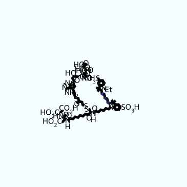 CCN1c2ccc(S(=O)(=O)O)cc2C(C)(C)C1/C=C/C=C/C=C1/N(CCCCCC(=O)NC(CSSCCC(=O)CCC#Cc2cn([C@H]3CC(O)[C@@H](COP(=O)(O)OP(=O)(O)OP(=O)(O)O)O3)c3ncnc(N)c23)C(=O)CCCCCCC(=O)NC(CC(=O)O)C(=O)NC(CC(=O)O)C(=O)O)c2ccc(S(=O)(=O)O)cc2C1(C)C